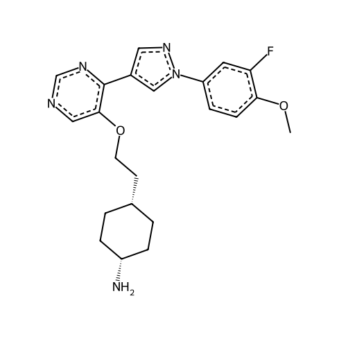 COc1ccc(-n2cc(-c3ncncc3OCC[C@H]3CC[C@@H](N)CC3)cn2)cc1F